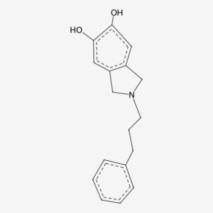 Oc1cc2c(cc1O)CN(CCCc1ccccc1)C2